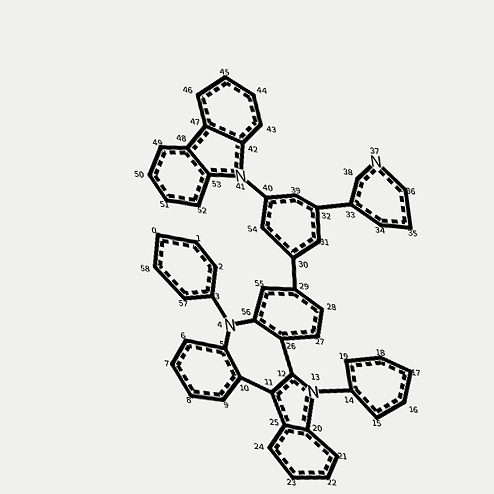 c1ccc(N2c3ccccc3-c3c(n(-c4ccccc4)c4ccccc34)-c3ccc(-c4cc(-c5cccnc5)cc(-n5c6ccccc6c6ccccc65)c4)cc32)cc1